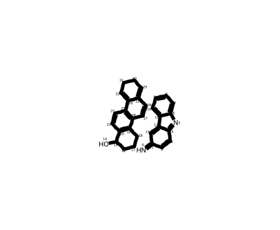 N=C1C=CC2=Nc3ccccc3C2=C1.OC1CCCc2c1ccc1c3c(ccc21)=CCCC=3